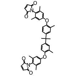 Cc1cc(C(C)(C)c2ccc(Oc3cc(C)c(N4C(=O)C=CC4=O)c(C)c3)c(C)c2)ccc1Oc1cc(C)c(N2C(=O)C=CC2=O)c(C)c1